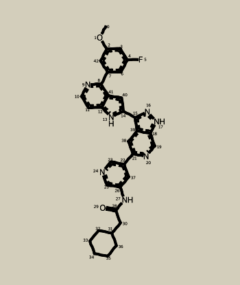 COc1cc(F)cc(-c2nccc3[nH]c(-c4n[nH]c5cnc(-c6cncc(NC(=O)CC7CCCCC7)c6)cc45)cc23)c1